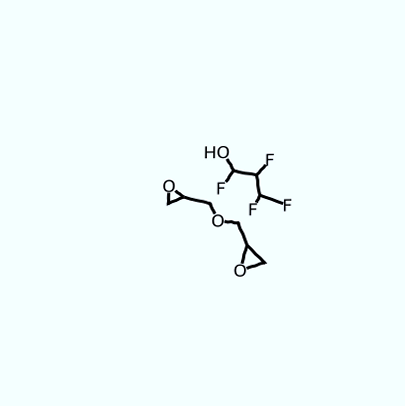 C(OCC1CO1)C1CO1.OC(F)C(F)C(F)F